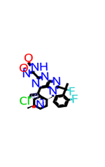 C/N=C\C(=C/Cl)c1nc(-c2noc(=O)[nH]2)nc2nc(C(C)(F)c3ccccc3F)n(C[C@H]3CC[C@H](C)CC3)c12